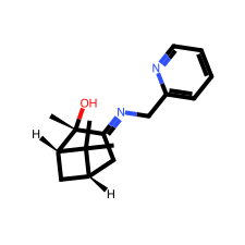 CC1(C)[C@@H]2C/C(=N\Cc3ccccn3)[C@@](C)(O)[C@H]1C2